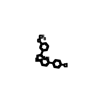 FC(F)(F)Oc1cccc(-c2cnc3ccc(-c4ccc(Cl)cc4)nn23)c1